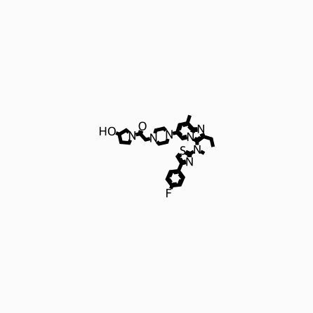 CCc1nc2c(C)cc(N3CCN(CC(=O)N4CCC(O)C4)CC3)cn2c1N(C)c1nc(-c2ccc(F)cc2)cs1